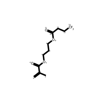 C=C(C)C(=O)OCCCOC(=O)CCC(F)(F)F